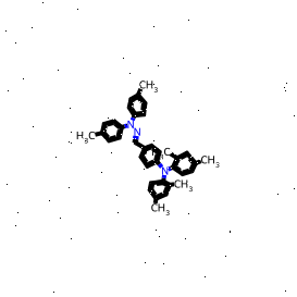 Cc1ccc(N(N=Cc2ccc(N(c3ccc(C)cc3C)c3ccc(C)cc3C)cc2)c2ccc(C)cc2)cc1